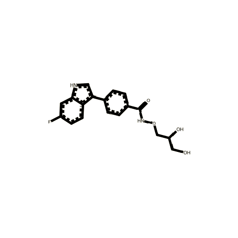 O=C(NOCC(O)CO)c1ccc(-c2c[nH]c3cc(F)ccc23)cc1